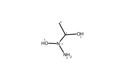 CC(O)N(N)O